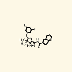 CC1(C)c2[nH]nc(NC(=O)c3ccc4ncccc4c3)c2CN1Cc1cc(F)cc(F)c1